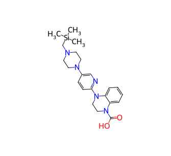 C[Si](C)(C)CN1CCN(c2ccc(N3CCN(C(=O)O)c4ccccc43)nc2)CC1